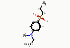 CCCN(CC(=O)O)c1ccc(S(=O)(=O)CCC#N)cc1